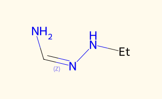 CCN/N=C\N